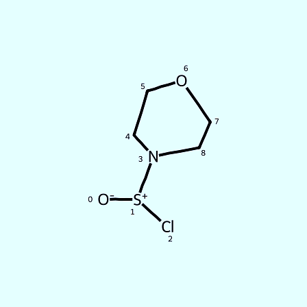 [O-][S+](Cl)N1CCOCC1